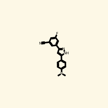 CN(C)c1ccc(-c2cc(-c3cc(F)cc(C#N)c3)n[nH]2)cc1